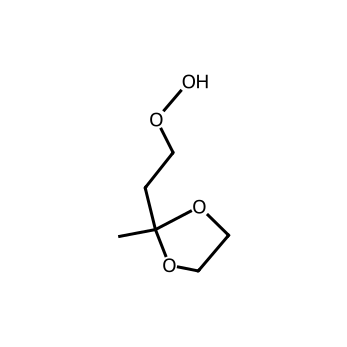 CC1(CCOO)OCCO1